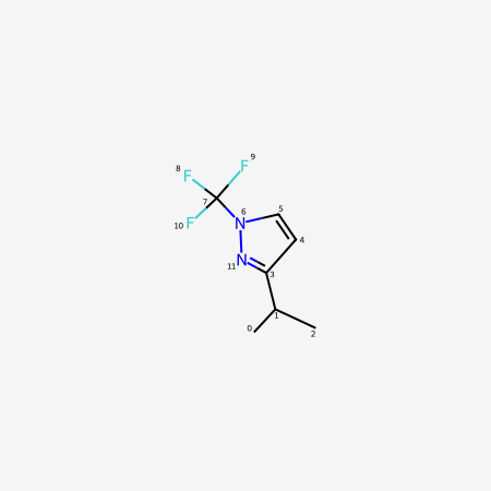 CC(C)c1ccn(C(F)(F)F)n1